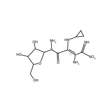 N=C(/C(N)=C(\NC1CC1)C(=O)N(N)C1OC(CO)C(O)C1O)[N+](=O)[O-]